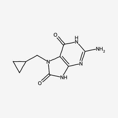 Nc1nc2[nH]c(=O)n(CC3CC3)c2c(=O)[nH]1